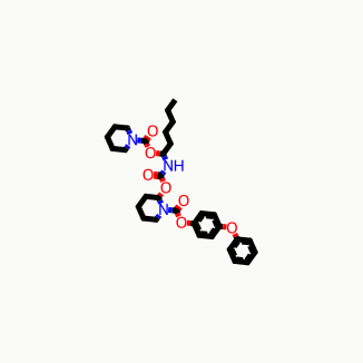 CCCCCC(NC(=O)OC1CCCCN1C(=O)Oc1ccc(Oc2ccccc2)cc1)OC(=O)N1CCCCC1